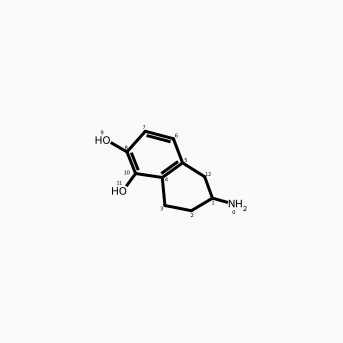 NC1CCc2c(ccc(O)c2O)C1